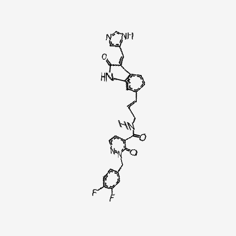 O=C1Nc2cc(C=CCNC(=O)c3ccnn(Cc4ccc(F)c(F)c4)c3=O)ccc2C1=Cc1cnc[nH]1